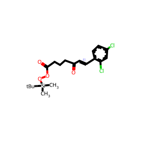 CC(C)(C)[Si](C)(C)OOC(=O)CCCC(=O)/C=C/c1ccc(Cl)cc1Cl